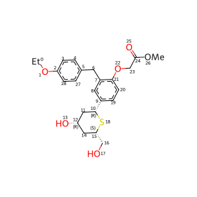 CCOc1ccc(Cc2cc([C@H]3C[C@@H](O)C[C@@H](CO)S3)ccc2OCC(=O)OC)cc1